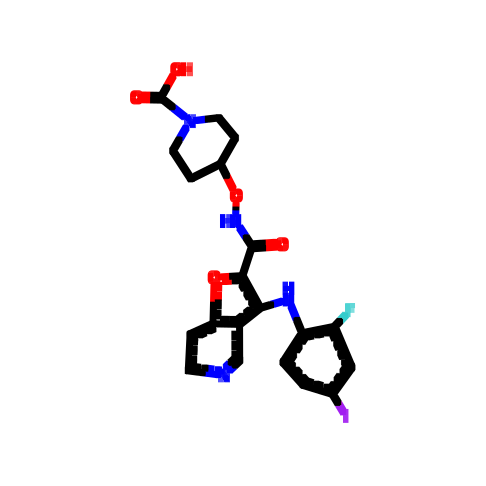 O=C(NOC1CCN(C(=O)O)CC1)c1oc2ccncc2c1Nc1ccc(I)cc1F